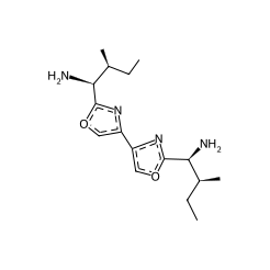 CC[C@H](C)[C@H](N)c1nc(-c2coc([C@@H](N)[C@@H](C)CC)n2)co1